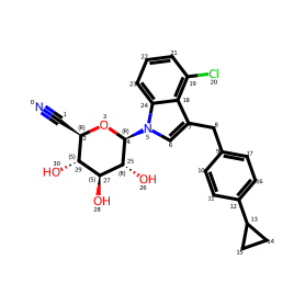 N#C[C@H]1O[C@@H](n2cc(Cc3ccc(C4CC4)cc3)c3c(Cl)cccc32)[C@H](O)[C@@H](O)[C@@H]1O